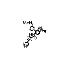 CNC[C@@H]1CCCN(c2c(NC(=O)c3csc(-c4ccnnc4)n3)ccc3c2cnn3C2CC2)C1